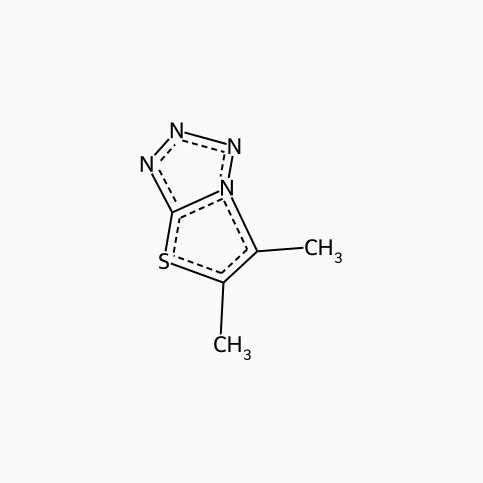 Cc1sc2nnnn2c1C